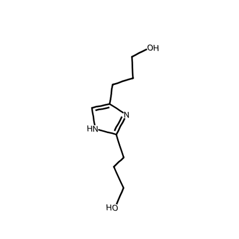 OCCCc1c[nH]c(CCCO)n1